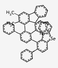 Cc1cc2c(c(-c3c(-c4ccccc4)ccc(-c4c(-c5ccccc5)ccc5[se]c6ccccc6c45)c3-c3ccnnn3)c1C)Cc1ccccc1-2